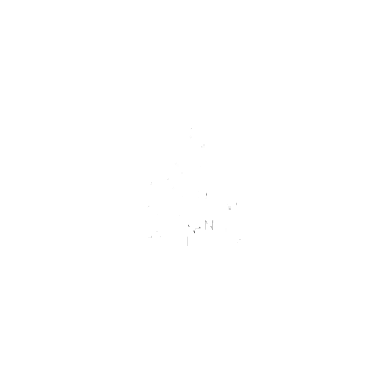 COc1ccc(-c2ccccc2)cc1NN(C(=O)O)C(C)C